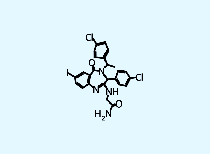 CC(c1ccc(Cl)cc1)N1C(=O)c2cc(I)ccc2N=C(NCC(N)=O)C1c1ccc(Cl)cc1